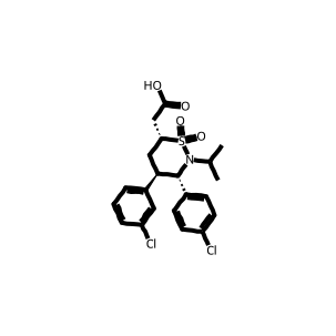 CC(C)N1[C@H](c2ccc(Cl)cc2)[C@@H](c2cccc(Cl)c2)C[C@H](CC(=O)O)S1(=O)=O